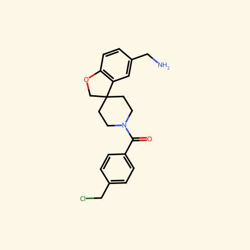 NCc1ccc2c(c1)C1(CCN(C(=O)c3ccc(CCl)cc3)CC1)CO2